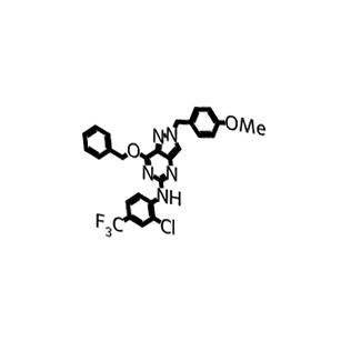 COc1ccc(Cn2cc3nc(Nc4ccc(C(F)(F)F)cc4Cl)nc(OCc4ccccc4)c3n2)cc1